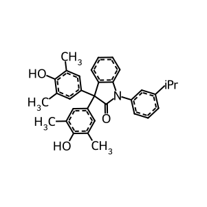 Cc1cc(C2(c3cc(C)c(O)c(C)c3)C(=O)N(c3cccc(C(C)C)c3)c3ccccc32)cc(C)c1O